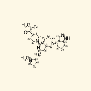 C=C(F)C(=O)N1CCN(c2nc(OC[C@@H]3CCCN3C)nc3c2CCCN(c2cccc4[nH]ncc24)C3)CC1